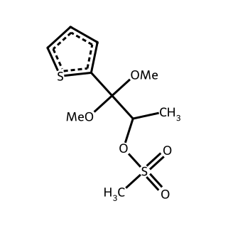 COC(OC)(c1cccs1)C(C)OS(C)(=O)=O